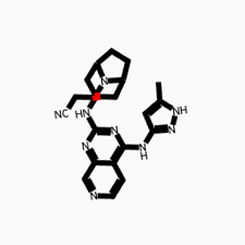 Cc1cc(Nc2nc(NC3CC4CCC(C3)N4CCC#N)nc3cnccc23)n[nH]1